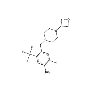 Nc1cc(C(F)(F)F)c(CN2CCN(C3COC3)CC2)cc1F